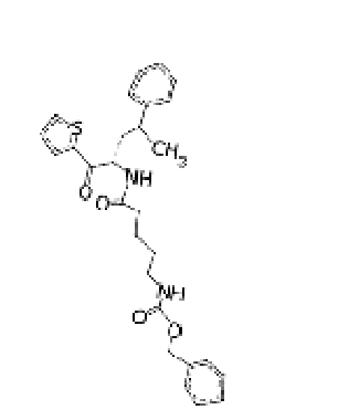 CC(C[C@H](NC(=O)CCCCNC(=O)OCc1ccccc1)C(=O)c1cccs1)c1ccccc1